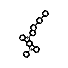 c1ccc(-c2ccc(-c3ccc4cc(-n5c6ccccc6c6cc7c(cc65)c5ccccc5n7-c5ccccc5)ccc4c3)cc2)cc1